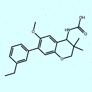 CCc1cccc(-c2cc3c(cc2OC)C(NC(=O)O)C(C)(C)CO3)c1